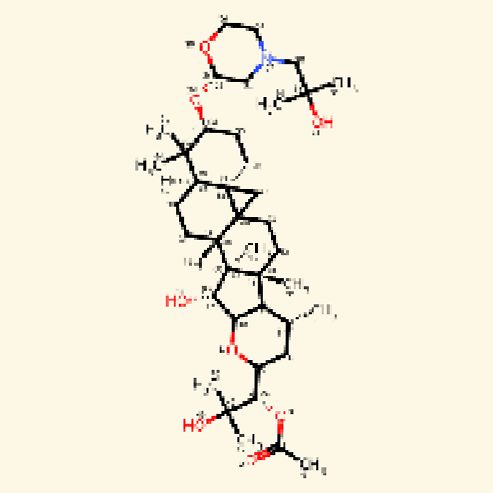 CC(=O)O[C@@H](C1C[C@@H](C)C2C(O1)[C@H](O)[C@@]1(C)[C@@H]3CC[C@H]4C(C)(C)[C@@H](O[C@H]5CN(CC(C)(C)O)CCO5)CC[C@@]45CC35CC[C@]21C)C(C)(C)O